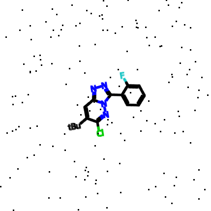 CC(C)(C)c1cc2nnc(-c3ccccc3F)n2nc1Cl